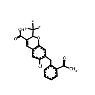 CC(=O)c1ccccc1Cc1cc2c(cc1Cl)C=C(C(=O)O)C(C(F)(F)F)O2